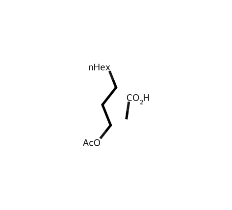 CC(=O)O.CCCCCCCCCOC(C)=O